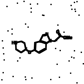 COC(=O)Cn1ncc2cc(OC3CCNCC3)ccc21